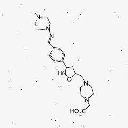 CN1CCN(N=Cc2ccc(C3CC(CN4CCN(CC(=O)O)CC4)ON3)cc2)CC1